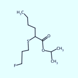 CCCCC(SCCCF)C(=O)OC(C)C